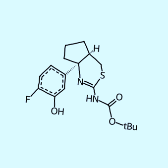 CC(C)(C)OC(=O)NC1=N[C@@]2(c3ccc(F)c(O)c3)CCC[C@H]2CS1